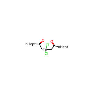 CCCCCCCC(=O)C[Te](Cl)(Cl)CC(=O)CCCCCCC